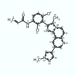 C=CC(=O)Nc1ccc(Cl)c(-c2nc3c4cc(-c5cnn(C)c5)cnc4ccn3c2C)c1Cl